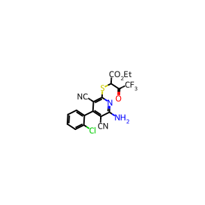 CCOC(=O)C(Sc1nc(N)c(C#N)c(-c2ccccc2Cl)c1C#N)C(=O)C(F)(F)F